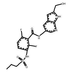 CCCS(=O)(=O)Nc1ccc(F)c(C(=O)Nc2cnc3[nH]c(CO)cc3c2)c1F